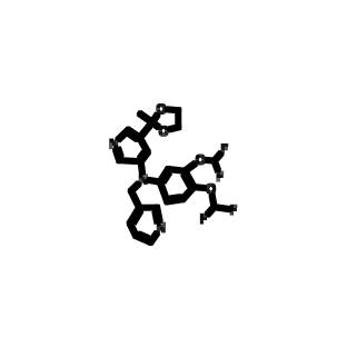 CC1(c2cncc(N(Cc3cccnc3)c3ccc(OC(F)F)c(OC(F)F)c3)c2)OCCO1